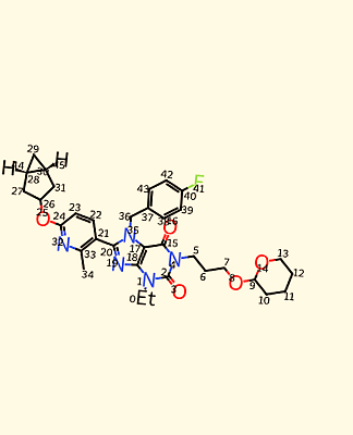 CCn1c(=O)n(CCCOC2CCCCO2)c(=O)c2c1nc(-c1ccc(OC3C[C@@H]4C[C@@H]4C3)nc1C)n2Cc1ccc(F)cc1